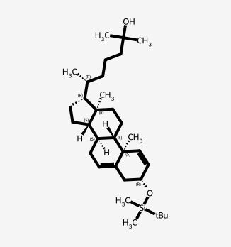 C[C@H](CCCC(C)(C)O)[C@H]1CC[C@H]2[C@@H]3CC=C4C[C@@H](O[Si](C)(C)C(C)(C)C)C=C[C@]4(C)[C@H]3CC[C@]12C